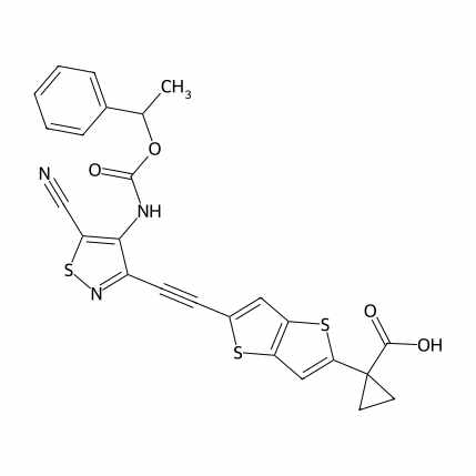 CC(OC(=O)Nc1c(C#Cc2cc3sc(C4(C(=O)O)CC4)cc3s2)nsc1C#N)c1ccccc1